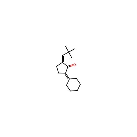 CC(C)(C)C=C1CCC(=C2CCCCC2)C1=O